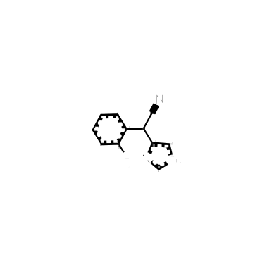 N#CC(c1cocn1)c1ccccc1F